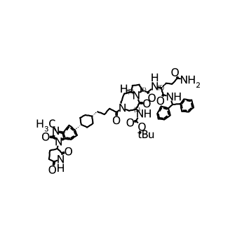 Cn1c(=O)n(C2CCC(=O)NC2=O)c2ccc([C@H]3CC[C@@H](CCCC(=O)N4CC[C@H]5CC[C@@H](C(=O)N[C@@H](CCC(N)=O)C(=O)NC(c6ccccc6)c6ccccc6)N5C(=O)[C@@H](NC(=O)OC(C)(C)C)C4)CC3)cc21